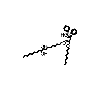 CCCCCCCCOCC(COCCCCCCCCC(O)C(O)CCCCCCCC)CC(C)(C)[Si](O)(c1ccccc1)c1ccccc1